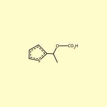 C[C](OC(=O)O)c1cccs1